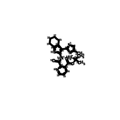 Cc1csc(-c2c(NC(=O)c3ncccc3C(=O)OC(C)(C)C)sc3c2CCCC3)n1